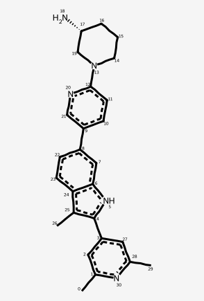 Cc1cc(-c2[nH]c3cc(-c4ccc(N5CCC[C@@H](N)C5)nc4)ccc3c2C)cc(C)n1